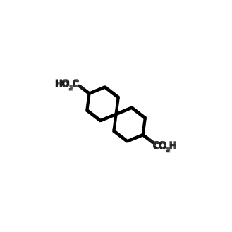 O=C(O)C1CCC2(CC1)CCC(C(=O)O)CC2